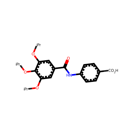 CC(C)Oc1cc(C(=O)Nc2ccc(C(=O)O)cc2)cc(OC(C)C)c1OC(C)C